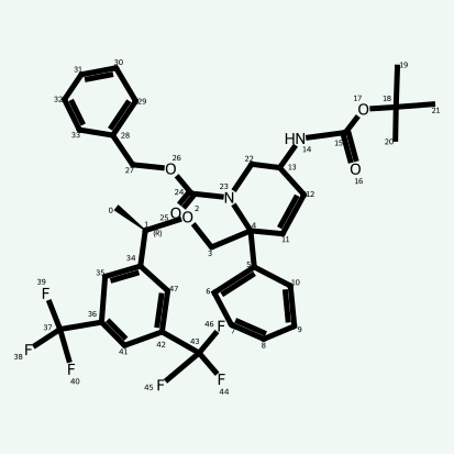 C[C@@H](OCC1(c2ccccc2)C=CC(NC(=O)OC(C)(C)C)CN1C(=O)OCc1ccccc1)c1cc(C(F)(F)F)cc(C(F)(F)F)c1